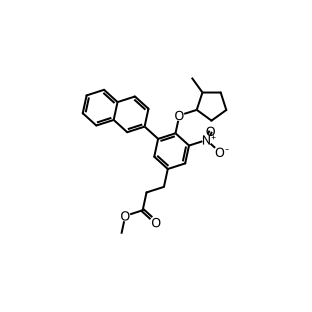 COC(=O)CCc1cc(-c2ccc3ccccc3c2)c(OC2CCCC2C)c([N+](=O)[O-])c1